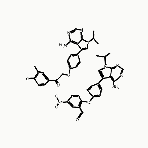 CC(C)n1cc(-c2ccc(Oc3ccc([N+](=O)[O-])cc3C=O)cc2)c2c(N)ncnc21.Cc1cc(C(=O)COc2ccc(-c3cn(C(C)C)c4ncnc(N)c34)cc2)ccc1Cl